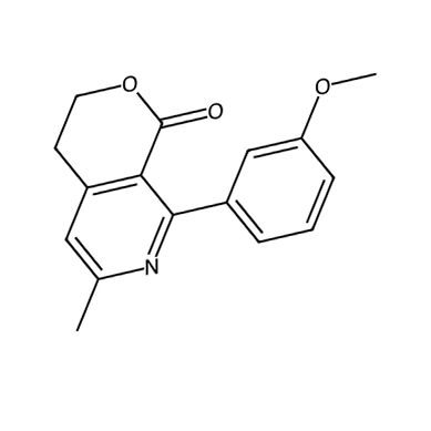 COc1cccc(-c2nc(C)cc3c2C(=O)OCC3)c1